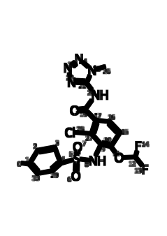 Cc1ccc(S(=O)(=O)Nc2c(OC(F)F)ccc(C(=O)Nc3nnnn3C)c2Cl)cc1